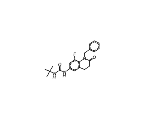 CC(C)(C)NC(=O)Nc1cc(F)c2c(c1)CCC(=O)N2Cc1ccccc1